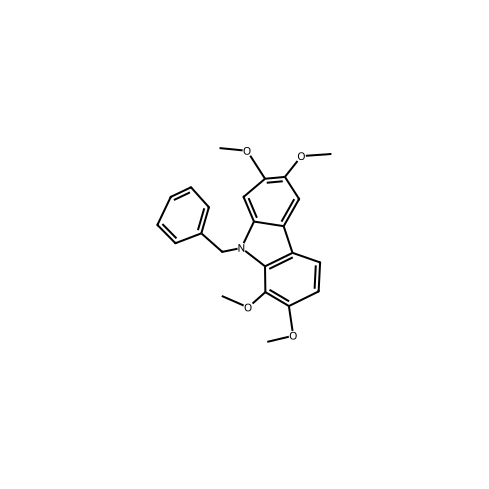 COc1cc2c3ccc(OC)c(OC)c3n(Cc3ccccc3)c2cc1OC